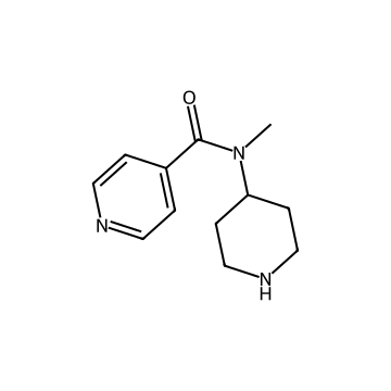 CN(C(=O)c1ccncc1)C1CCNCC1